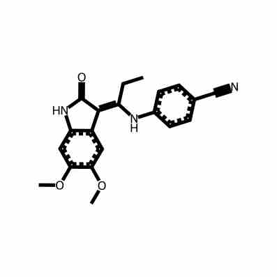 CCC(Nc1ccc(C#N)cc1)=C1C(=O)Nc2cc(OC)c(OC)cc21